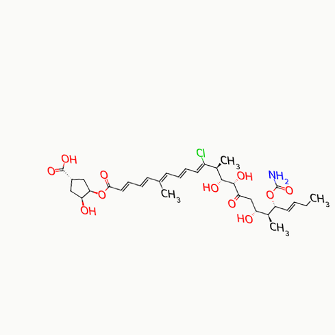 CC/C=C/[C@@H](OC(N)=O)[C@@H](C)[C@H](O)CC(=O)[C@@H](O)[C@H](O)[C@H](C)/C(Cl)=C/C=C/C=C(C)/C=C/C=C/C(=O)O[C@@H]1C[C@@H](C(=O)O)C[C@@H]1O